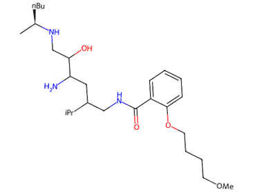 CCCC[C@H](C)NCC(O)C(N)CC(CNC(=O)c1ccccc1OCCCCOC)C(C)C